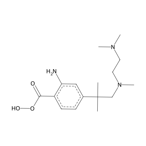 CN(C)CCN(C)CC(C)(C)c1ccc(C(=O)OO)c(N)c1